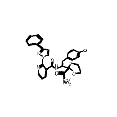 NC(=O)C1(C(Cc2ccc(Cl)cc2)NC(=O)c2cccnc2-n2ccc(-c3ccccc3)n2)OCCO1